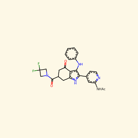 CC(=O)Nc1cc(-c2[nH]c3c(c2Nc2ccccc2)C(=O)CC(C(=O)N2CC(F)(F)C2)C3)ccn1